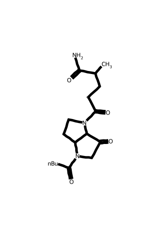 CCCCC(=O)N1CC(=O)C2C1CCN2C(=O)[CH]CC(C)C(N)=O